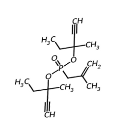 C#CC(C)(CC)OP(=O)(CC(=C)C)OC(C)(C#C)CC